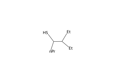 CCCC(S)C(CC)CC